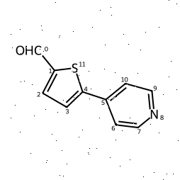 O=Cc1ccc(-c2ccncc2)s1